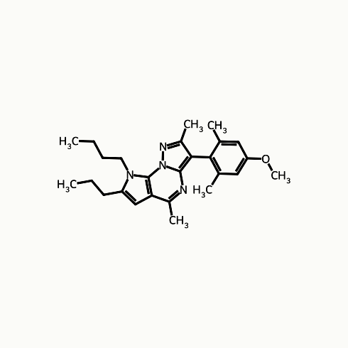 CCCCn1c(CCC)cc2c(C)nc3c(-c4c(C)cc(OC)cc4C)c(C)nn3c21